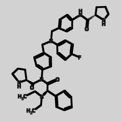 CCN(CC)[C@@H](C(=O)N(C(=O)[C@@H]1CCCN1)c1ccc(CN(Cc2ccc(NC(=O)[C@@H]3CCCN3)cc2)c2ccc(F)cc2)cc1)c1ccccc1